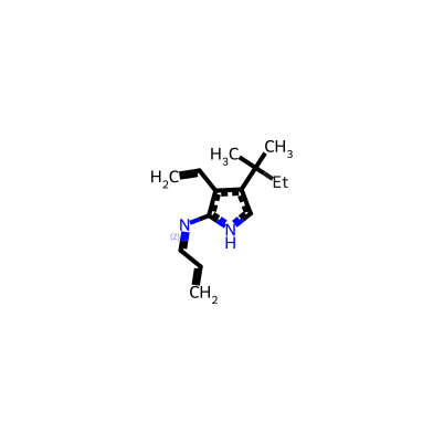 C=C/C=N\c1[nH]cc(C(C)(C)CC)c1C=C